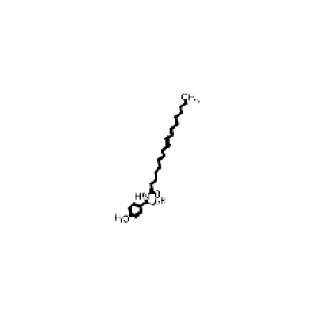 CCCCCCCCC=CCCCCCCCC(=O)N[C@@H](CO)c1ccc(O)cc1